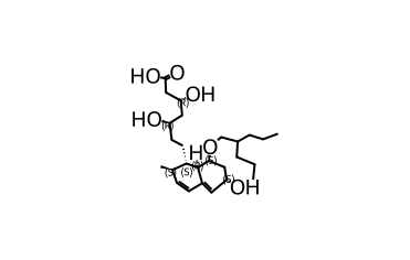 CCCC(CCC)CO[C@H]1C[C@H](O)C=C2C=C[C@@H](C)[C@H](CC[C@@H](O)C[C@@H](O)CC(=O)O)[C@H]21